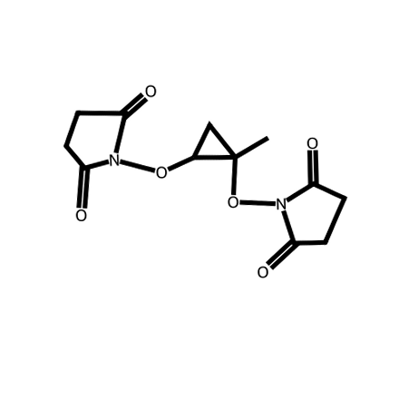 CC1(ON2C(=O)CCC2=O)CC1ON1C(=O)CCC1=O